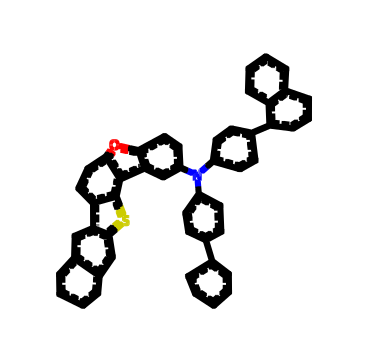 c1ccc(-c2ccc(N(c3ccc(-c4cccc5ccccc45)cc3)c3ccc4oc5ccc6c7cc8ccccc8cc7sc6c5c4c3)cc2)cc1